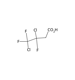 O=C(O)CC(F)(Cl)C(F)(F)Cl